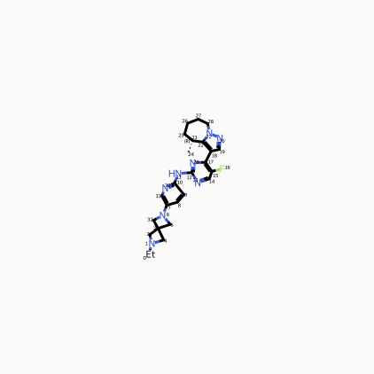 CCN1CC2(C1)CN(c1ccc(Nc3ncc(F)c(-c4cnn5c4[C@H](C)CCCC5)n3)nc1)C2